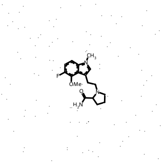 COc1c(F)ccc2c1c(CCN1CCCC1C(N)=O)cn2C